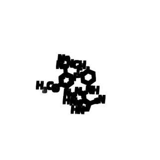 COc1cc(-c2nncn2C)ccc1Nc1nc(NC2CCCC(F)(F)C2)c2c(C#N)c[nH]c2n1